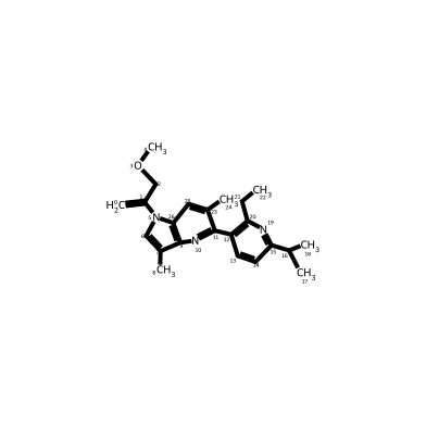 C=C(COC)n1cc(C)c2nc(-c3ccc(C(C)C)nc3CC)c(C)cc21